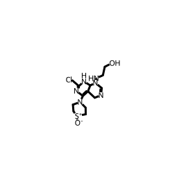 [O-][S+]1CCN(C2=C3CN=CN(NCCO)C3NC(Cl)=N2)CC1